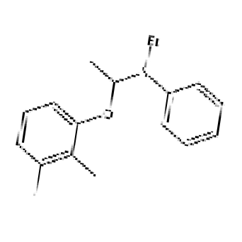 CCN(c1ccccc1)C(C)Oc1cccc(C)c1C